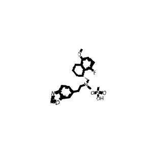 COc1ccc(F)c2c1CCC[C@H]2CN(C)CCc1ccc2ncoc2c1.CS(=O)(=O)O